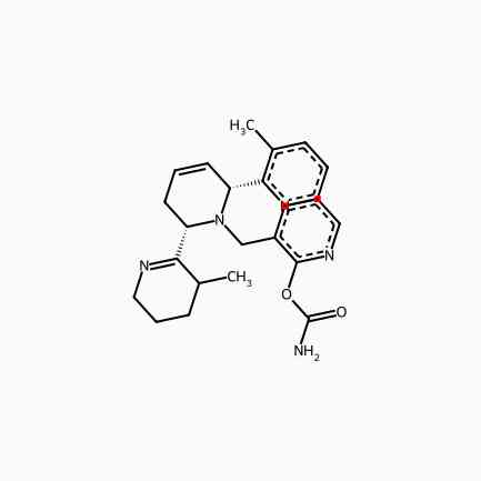 Cc1cccnc1[C@H]1C=CC[C@@H](C2=NCCCC2C)N1Cc1cccnc1OC(N)=O